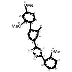 COc1ccc(-c2ccc(-c3nc(-c4ccccc4OC)no3)cc2C)c(OC)c1